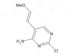 CO/C=C/c1cnc(Cl)nc1N